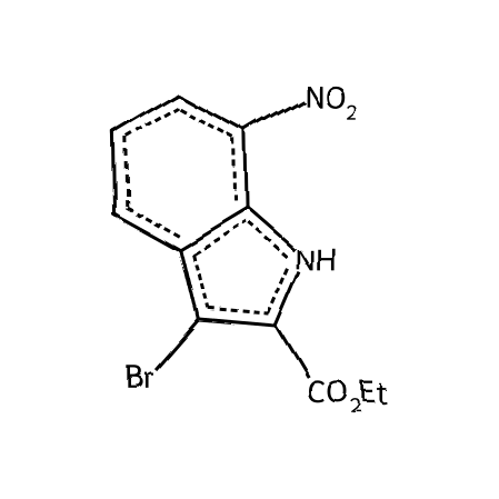 CCOC(=O)c1[nH]c2c([N+](=O)[O-])cccc2c1Br